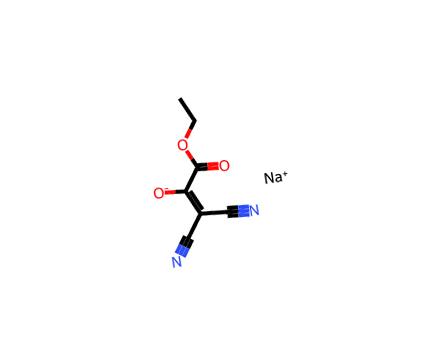 CCOC(=O)C([O-])=C(C#N)C#N.[Na+]